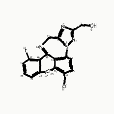 OCc1nc2n(n1)-c1ccc(Cl)c(Cl)c1C(c1c(F)cccc1F)=NC2